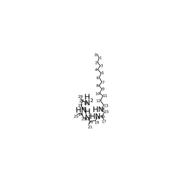 CCCCCCCCCCCCCCNCC(C)NCC(C)NCC(C)NCC(C)N